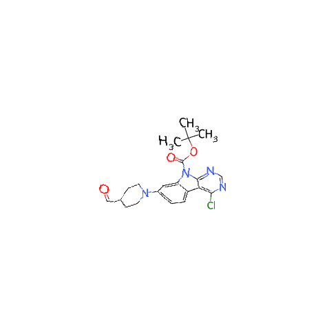 CC(C)(C)OC(=O)n1c2cc(N3CCC(C=O)CC3)ccc2c2c(Cl)ncnc21